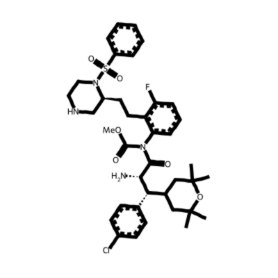 COC(=O)N(C(=O)[C@@H](N)[C@@H](c1ccc(Cl)cc1)C1CC(C)(C)OC(C)(C)C1)c1cccc(F)c1CC[C@H]1CNCCN1S(=O)(=O)c1ccccc1